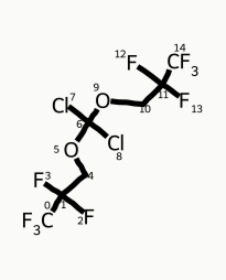 FC(F)(F)C(F)(F)COC(Cl)(Cl)OCC(F)(F)C(F)(F)F